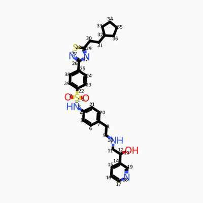 O=S(=O)(Nc1ccc(CCNCC(O)c2cccnc2)cc1)c1ccc(-c2nsc(CCC3CCCC3)n2)cc1